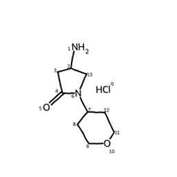 Cl.NC1CC(=O)N(C2CCOCC2)C1